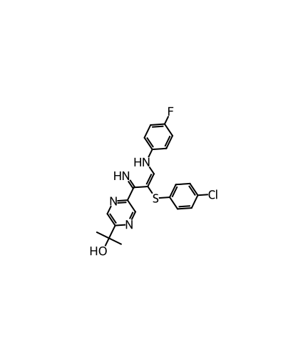 CC(C)(O)c1cnc(C(=N)/C(=C\Nc2ccc(F)cc2)Sc2ccc(Cl)cc2)cn1